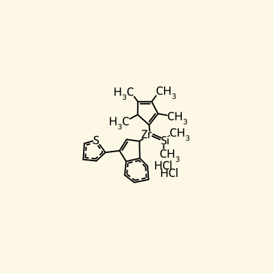 CC1=C(C)C(C)[C]([Zr]([CH]2C=C(c3cccs3)c3ccccc32)=[Si](C)C)=C1C.Cl.Cl